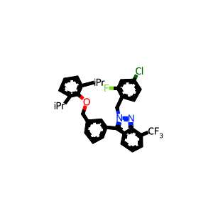 CC(C)c1cccc(C(C)C)c1OCc1cccc(-c2c3cccc(C(F)(F)F)c3nn2Cc2ccc(Cl)cc2F)c1